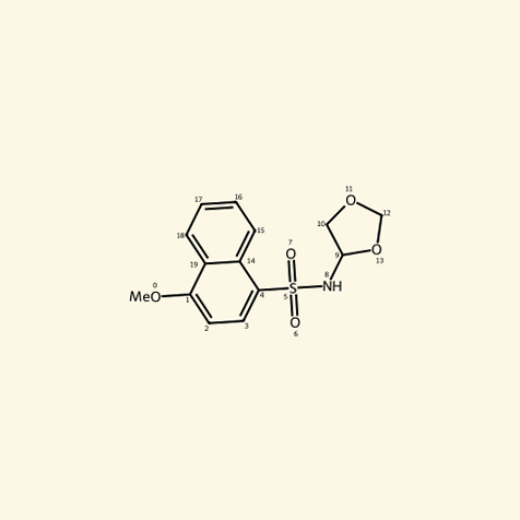 COc1ccc(S(=O)(=O)NC2COCO2)c2ccccc12